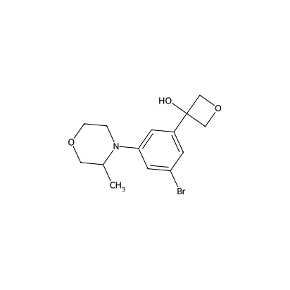 CC1COCCN1c1cc(Br)cc(C2(O)COC2)c1